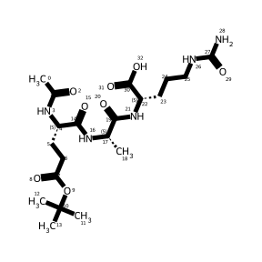 CC(=O)N[C@@H](CCC(=O)OC(C)(C)C)C(=O)N[C@@H](C)C(=O)N[C@@H](CCCNC(N)=O)C(=O)O